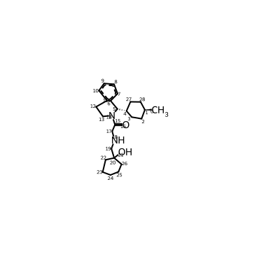 C[C@H]1CC[C@H](C2c3ccccc3CCN2C(=O)CNCC2(O)CCCCC2)CC1